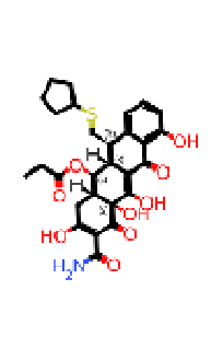 CCC(=O)O[C@H]1[C@H]2C(=C(O)[C@]3(O)C(=O)C(C(N)=O)=C(O)C[C@H]13)C(=O)c1c(O)cccc1[C@@H]2CSC1CCCC1